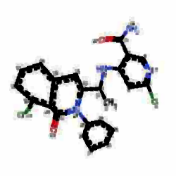 C[C@H](Nc1cc(Cl)ncc1C(N)=O)c1cc2cccc(Cl)c2c(=O)n1-c1ccccc1